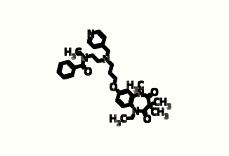 CCN1C(=O)C(C)(C)C(=O)N(C)c2cc(OCCCN(CCN(C)C(=O)c3ccccc3)Cc3ccncc3)ccc21